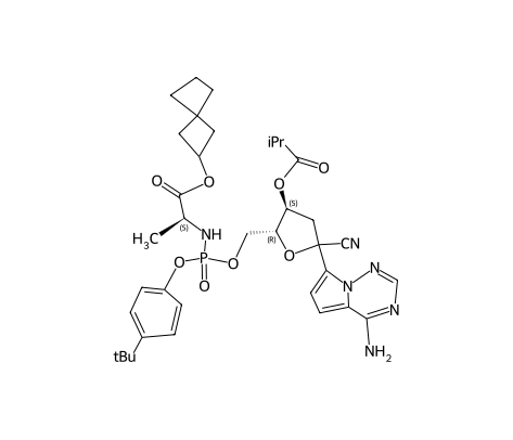 CC(C)C(=O)O[C@H]1CC(C#N)(c2ccc3c(N)ncnn23)O[C@@H]1COP(=O)(N[C@@H](C)C(=O)OC1CC2(CCC2)C1)Oc1ccc(C(C)(C)C)cc1